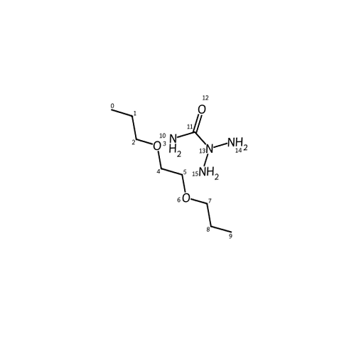 CCCOCCOCCC.NC(=O)N(N)N